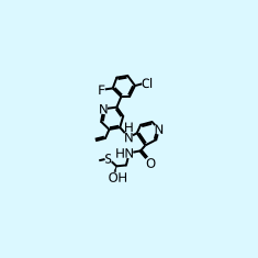 C=Cc1cnc(-c2cc(Cl)ccc2F)cc1Nc1ccncc1C(=O)NC[C@@H](O)SC